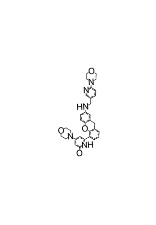 O=c1cc(N2CCOCC2)cc(-c2cccc3c2Oc2ccc(NCc4ccc(N5CCOCC5)nc4)cc2C3)[nH]1